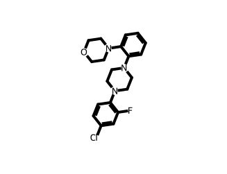 Fc1cc(Cl)ccc1N1CCN(c2ccccc2N2CCOCC2)CC1